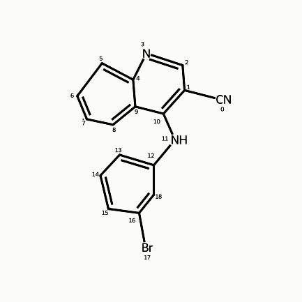 N#Cc1cnc2cc[c]cc2c1Nc1cccc(Br)c1